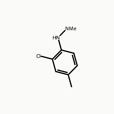 CNNc1ccc(C)cc1Cl